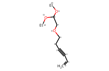 C=CC#CCCOCC(OCC)OCC